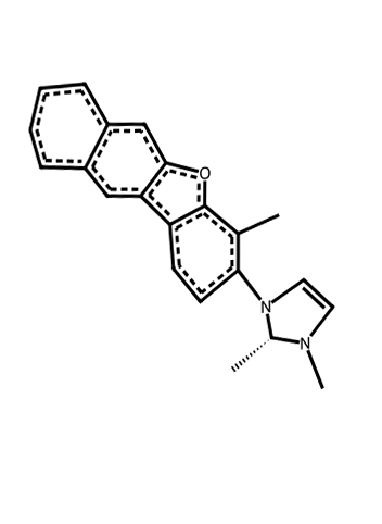 Cc1c(N2C=CN(C)[C@@H]2C)ccc2c1oc1cc3ccccc3cc12